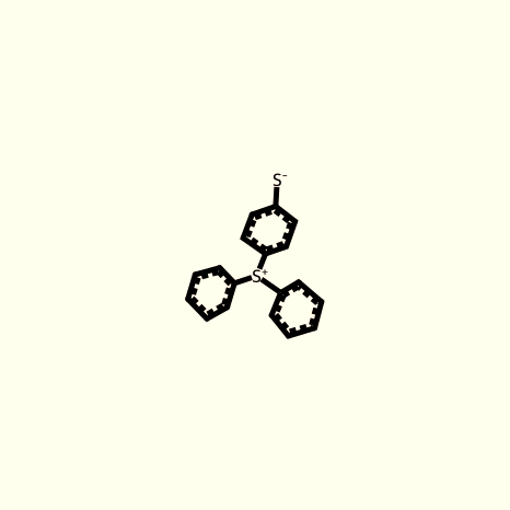 [S-]c1ccc([S+](c2ccccc2)c2ccccc2)cc1